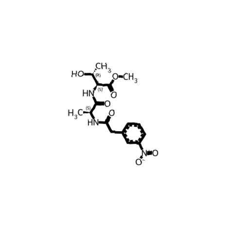 COC(=O)[C@@H](NC(=O)[C@H](C)NC(=O)Cc1cccc([N+](=O)[O-])c1)[C@@H](C)O